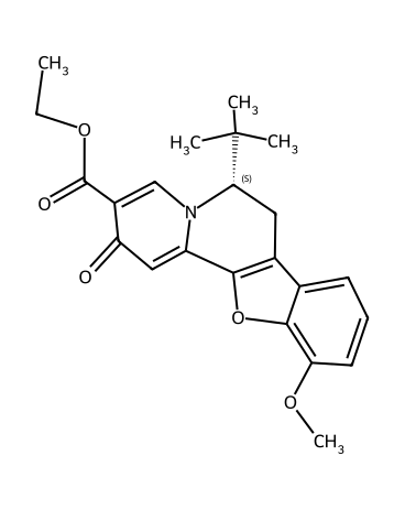 CCOC(=O)c1cn2c(cc1=O)-c1oc3c(OC)cccc3c1C[C@H]2C(C)(C)C